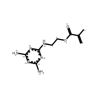 C=C(C)C(=O)OCCNc1nc(N)nc(N)n1